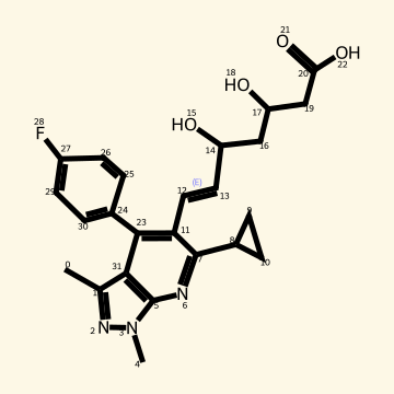 Cc1nn(C)c2nc(C3CC3)c(/C=C/C(O)CC(O)CC(=O)O)c(-c3ccc(F)cc3)c12